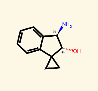 N[C@@H]1c2ccccc2C2(CC2)[C@H]1O